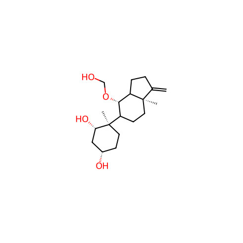 C=C1CCC2[C@@H](OCO)C([C@@]3(C)CC[C@H](O)C[C@@H]3O)CC[C@]12C